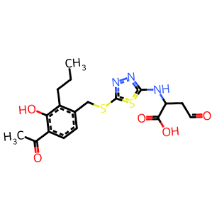 CCCc1c(CSc2nnc(NC(CC=O)C(=O)O)s2)ccc(C(C)=O)c1O